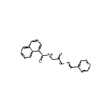 O=C(CNC(=O)c1cccc2ccccc12)NN=Cc1ccncc1